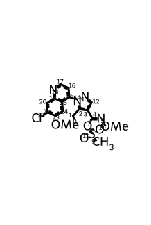 COCc1c(/C(=N/OC)OS(C)(=O)=O)cnn1-c1ccnc2cc(Cl)ccc12